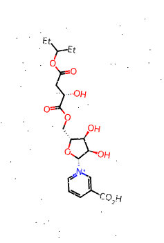 CCC(CC)OC(=O)C[C@H](O)C(=O)OC[C@H]1O[C@@H]([n+]2cccc(C(=O)O)c2)[C@H](O)[C@@H]1O